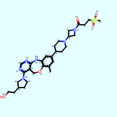 Cc1cc(C2CCN(C3CN(C(=O)CCS(C)(=O)=O)C3)CC2)cc2c1OCc1c(ncnc1N1CCC(CCO)C1)N2